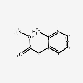 Cc1ncccc1CC(=O)ON